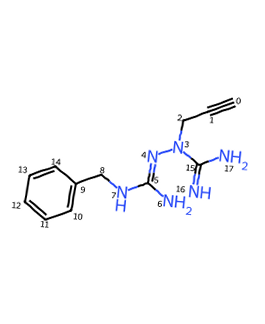 C#CCN(N=C(N)NCc1ccccc1)C(=N)N